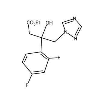 CCOC(=O)CC(O)(Cn1cncn1)c1ccc(F)cc1F